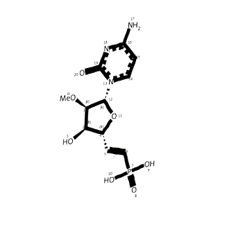 CO[C@@H]1[C@H](O)[C@@H](/C=C/P(=O)(O)O)O[C@H]1n1ccc(N)nc1=O